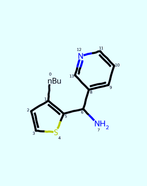 CCCCc1ccsc1C(N)c1cccnc1